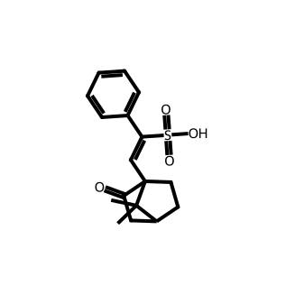 CC1(C)C2CCC1(C=C(c1ccccc1)S(=O)(=O)O)C(=O)C2